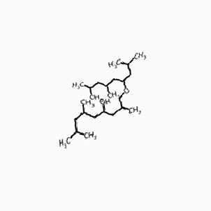 CC(C)CC(C)CC(O)CC(C)COC(CC(C)C)CC(C)CC(C)C